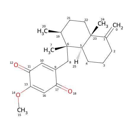 C=C1CCC[C@H]2[C@](C)(CC3=CC(=O)C(OC)=CC3=O)[C@@H](C)CC[C@]12C